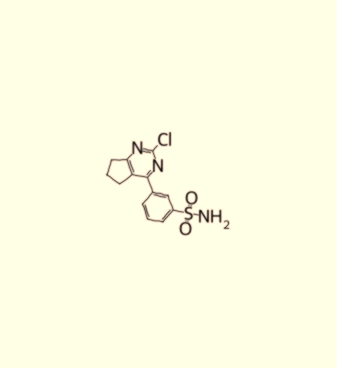 NS(=O)(=O)c1cccc(-c2nc(Cl)nc3c2CCC3)c1